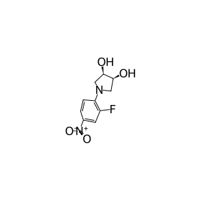 O=[N+]([O-])c1ccc(N2C[C@@H](O)[C@@H](O)C2)c(F)c1